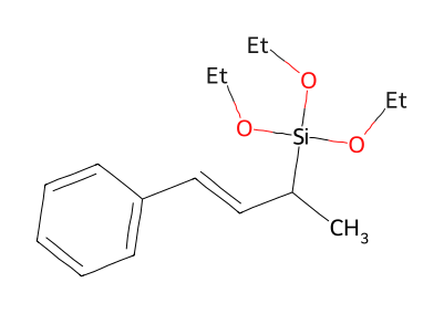 CCO[Si](OCC)(OCC)C(C)C=Cc1ccccc1